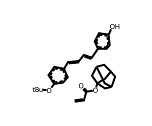 C=CC(=O)OC12CC3CC(CC(C3)C1)C2.CC(C)(C)Oc1ccc(C=CC=Cc2ccc(O)cc2)cc1